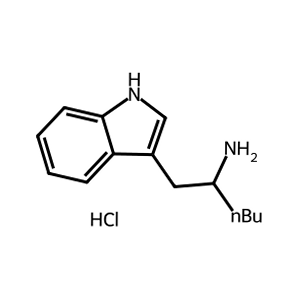 CCCCC(N)Cc1c[nH]c2ccccc12.Cl